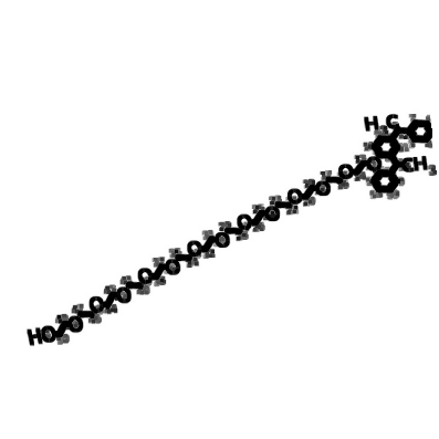 CC(c1ccccc1)c1ccc(OCCOCCOCCOCCOCCOCCOCCOCCOCCOCCOCCOCCOCCO)c(C(C)c2ccccc2)c1